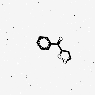 O=C(c1ccccc1)C1CCOO1